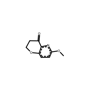 COc1ccc2c(n1)C(=O)CCO2